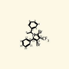 CC(c1ccccc1)n1c(Br)c(C(F)(F)F)c(Br)c1-c1ccccc1